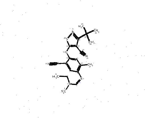 CCN(C)/C=N\c1cc(C#N)c(Oc2snc(C(C)(C)C)c2C#N)cc1C